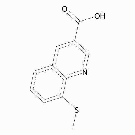 CSc1cccc2cc(C(=O)O)cnc12